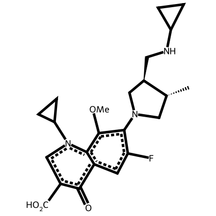 COc1c(N2C[C@@H](CNC3CC3)[C@H](C)C2)c(F)cc2c(=O)c(C(=O)O)cn(C3CC3)c12